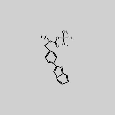 CN(Cc1ccc(-c2cn3ccccc3n2)cc1)C(=O)OC(C)(C)C